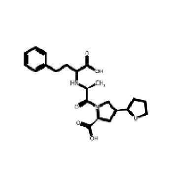 C[C@H](NC(CCc1ccccc1)C(=O)O)C(=O)N1C[C@@H](C2CCCO2)C[C@H]1C(=O)O